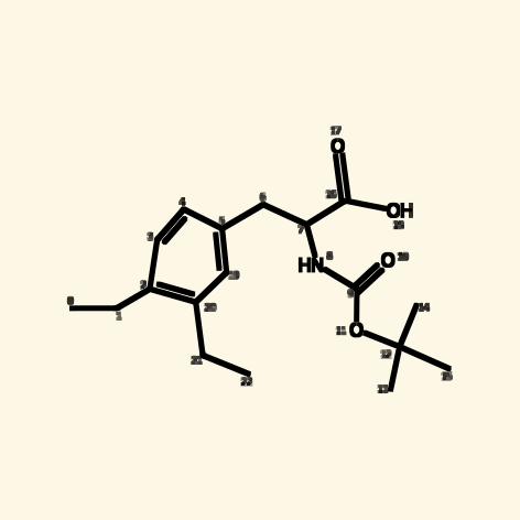 CCc1ccc(CC(NC(=O)OC(C)(C)C)C(=O)O)cc1CC